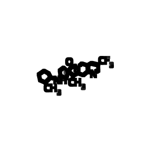 CC1CCCCC1NC1CC[C@@]2(C1)C(=O)N1Cc3cc(C(F)(F)F)cnc3CC1C2C